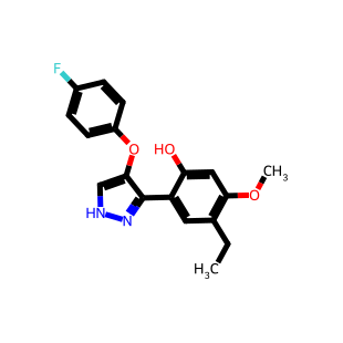 CCc1cc(-c2n[nH]cc2Oc2ccc(F)cc2)c(O)cc1OC